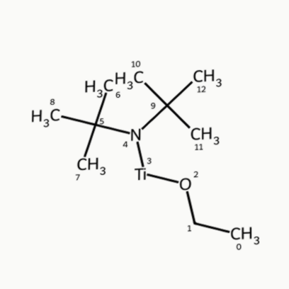 CC[O][Ti][N](C(C)(C)C)C(C)(C)C